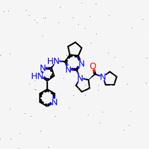 O=C([C@H]1CCCN1c1nc2c(c(Nc3cc(-c4cccnc4)[nH]n3)n1)CCC2)N1CCCC1